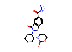 NNC(=O)c1ccc2c(c1)C(=O)N([C@@H]1CCCC[C@H]1N1CCCOC1=O)C2